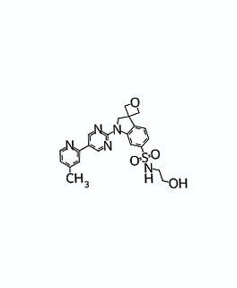 Cc1ccnc(-c2cnc(N3CC4(COC4)c4ccc(S(=O)(=O)NCCO)cc43)nc2)c1